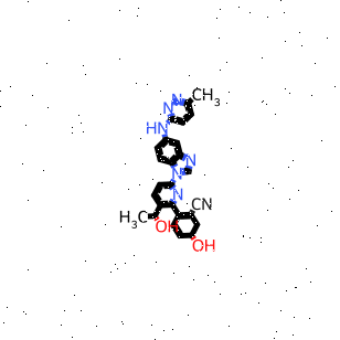 Cc1ccc(Nc2ccc3c(c2)ncn3-c2ccc(C(C)O)c(C3=C(C#N)CC(O)C=C3)n2)nn1